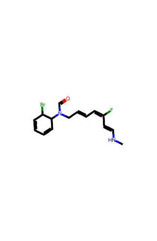 CN/C=C/C(F)=C\C=C\CN(C=O)C1C=CC=CC1Br